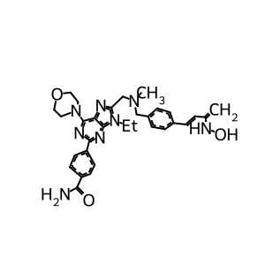 C=C(/C=C/c1ccc(CN(C)Cc2nc3c(N4CCOCC4)nc(-c4ccc(C(N)=O)cc4)nc3n2CC)cc1)NO